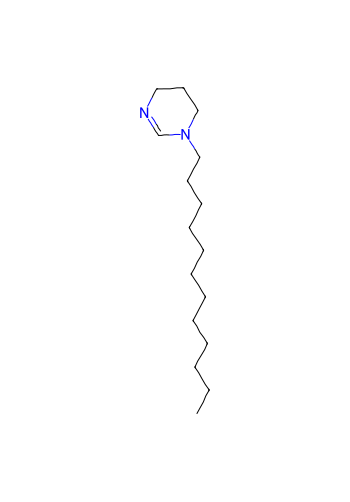 CCCCCCCCCCCCN1C=NCCC1